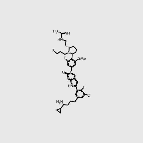 CSc1cc(-n2cc3cc(-c4cc(CCC[C@@H](N)C5CC5)cc(Cl)c4F)[nH]c3nc2=O)cc(F)c1[C@@H]1CCC[C@@H](CCNC(C)=N)N1CCCF